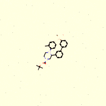 Cc1ccccc1N1CCN(C(=O)OC(C)(C)C)CC1c1cccc(-c2cccc(S(C)(=O)=O)c2)c1